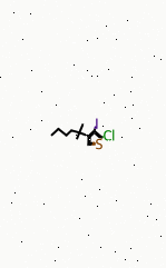 CCCCC(C)(C)c1csc(Cl)c1I